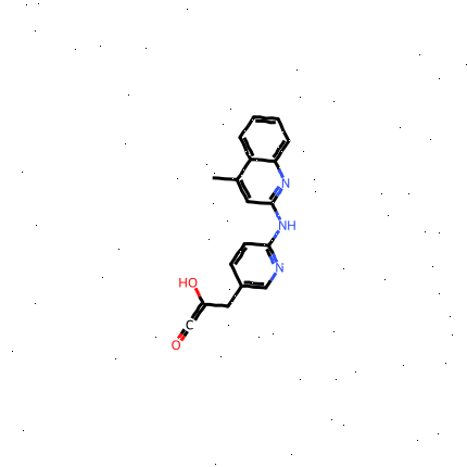 Cc1cc(Nc2ccc(CC(O)=C=O)cn2)nc2ccccc12